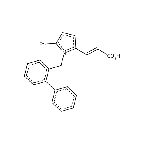 CCc1ccc(/C=C/C(=O)O)n1Cc1ccccc1-c1ccccc1